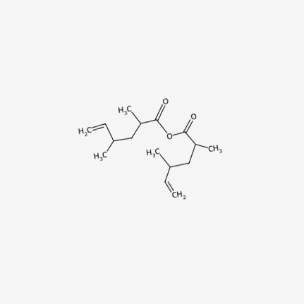 C=CC(C)CC(C)C(=O)OC(=O)C(C)CC(C)C=C